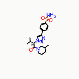 CC1CCCN(C(=O)[C@@H](C(C)C)n2cc(-c3ccc(S(N)(=O)=O)cc3)nn2)C1